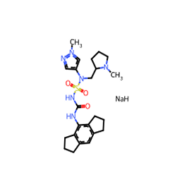 CN1CCCC1CN(c1cnn(C)c1)S(=O)(=O)NC(=O)Nc1c2c(cc3c1CCC3)CCC2.[NaH]